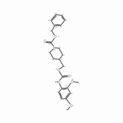 COc1ccc(NC(=O)OCC2CCN(C(=O)OCc3ccccc3)CC2)c(OC)c1